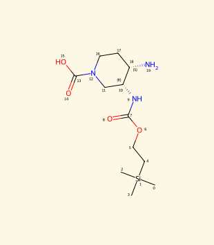 C[Si](C)(C)CCOC(=O)N[C@@H]1CN(C(=O)O)CC[C@@H]1N